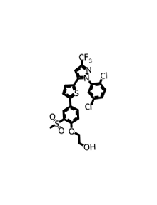 CS(=O)(=O)c1cc(-c2ccc(-c3cc(C(F)(F)F)nn3-c3cc(Cl)ccc3Cl)s2)ccc1OCCO